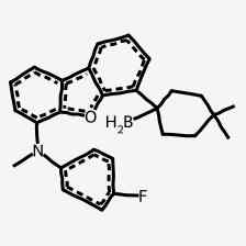 BC1(c2cccc3c2oc2c(N(C)c4ccc(F)cc4)cccc23)CCC(C)(C)CC1